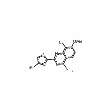 COc1ccc2c(N)nc(-c3nc(C(C)C)cs3)nc2c1Cl